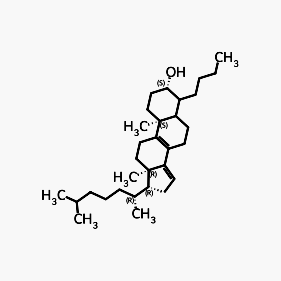 CCCCC1C2CCC3=C(CC[C@@]4(C)C3=CC[C@@H]4[C@H](C)CCCC(C)C)[C@@]2(C)CC[C@@H]1O